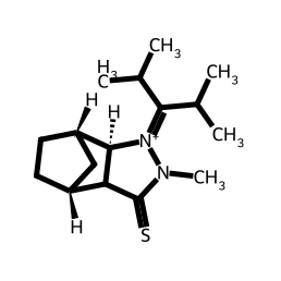 CC(C)C(C(C)C)=[N+]1[C@H]2C(C(=S)N1C)[C@@H]1CC[C@H]2C1